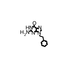 Nc1nc2c(ncn2CCc2ccccc2)c(=O)[nH]1